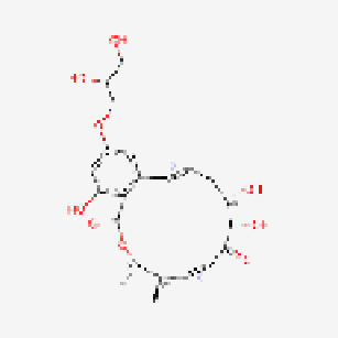 C[C@@H]1/C=C\C(=O)C(O)[C@@H](O)C/C=C/c2cc(OCC(O)CO)cc(O)c2C(=O)O[C@H]1C